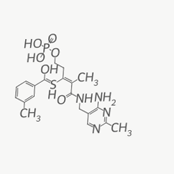 C/C(C(=O)NCc1cnc(C)nc1N)=C(CCOP(=O)(O)O)/[SH]=C(\O)c1cccc(C)c1